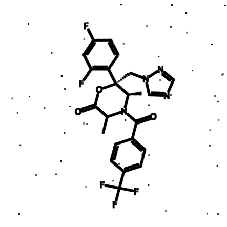 CC1C(=O)O[C@@](Cn2cncn2)(c2ccc(F)cc2F)[C@@H](C)N1C(=O)c1ccc(C(F)(F)F)cc1